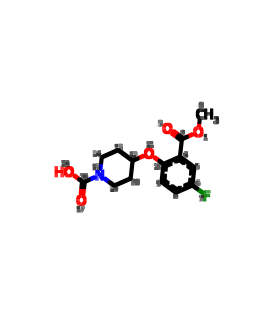 COC(=O)c1cc(F)ccc1OC1CCN(C(=O)O)CC1